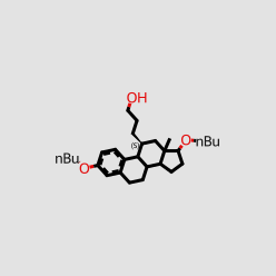 CCCCOc1ccc2c(c1)CCC1C2[C@@H](CCCO)CC2(C)C(OCCCC)CCC12